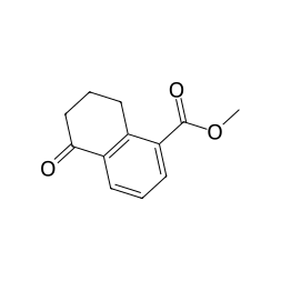 COC(=O)c1cccc2c1CCCC2=O